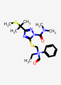 CC[N+](C=O)(CSc1nc(C(C)(C)SC)nn1C(=O)N(C)C)c1ccccc1